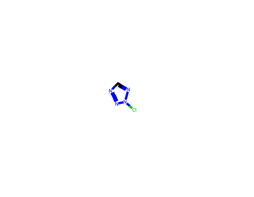 Cln1ncnn1